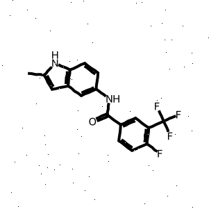 Cc1cc2cc(NC(=O)c3ccc(F)c(C(F)(F)F)c3)ccc2[nH]1